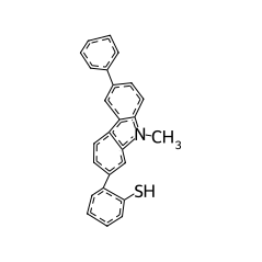 Cn1c2ccc(-c3ccccc3)cc2c2ccc(-c3ccccc3S)cc21